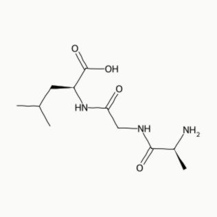 CC(C)C[C@H](NC(=O)CNC(=O)[C@H](C)N)C(=O)O